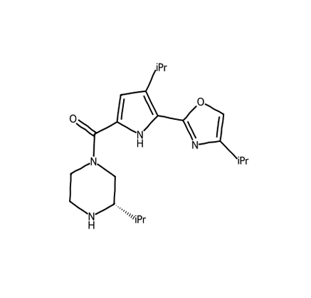 CC(C)c1coc(-c2[nH]c(C(=O)N3CCN[C@@H](C(C)C)C3)cc2C(C)C)n1